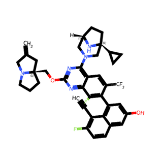 C#Cc1c(F)ccc2cc(O)cc(-c3c(C(F)(F)F)cc4c(N5C[C@@H]6CC[C@](C7CC7)(C5)N6)nc(OC[C@@]56CCCN5CC(=C)C6)nc4c3F)c12